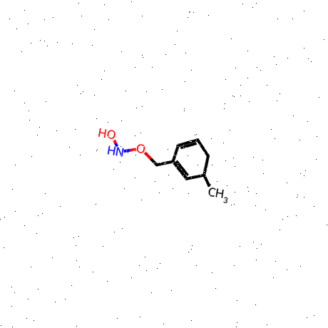 CC1C=C(CONO)C=CC1